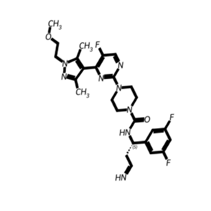 COCCn1nc(C)c(-c2nc(N3CCN(C(=O)N[C@@H](CC=N)c4cc(F)cc(F)c4)CC3)ncc2F)c1C